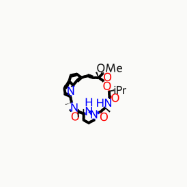 COC[C@@]1(C)/C=C/c2ccc3ccc(nc3c2)[C@@H](C)N(C)C(=O)[C@@H]2CCCN(N2)C(=O)[C@H](C)NC(=O)[C@H](C(C)C)OC1=O